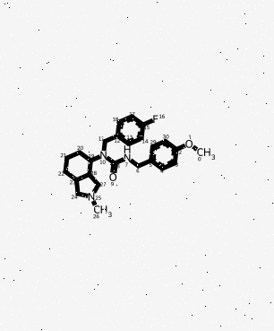 COc1ccc(CNC(=O)N(Cc2ccc(F)cc2)C2CCCC3CN(C)CC32)cc1